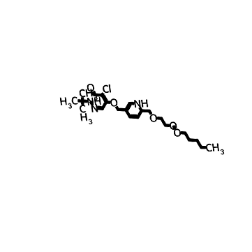 CCCCCOOCCOCC1C=CC(COC(/C=N\NC(C)(C)C)=C(\Cl)C=O)=CN1